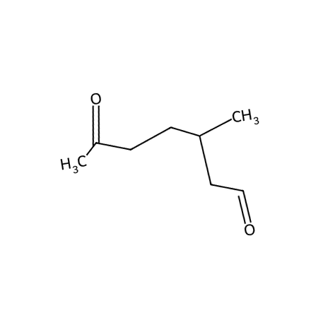 CC(=O)CCC(C)CC=O